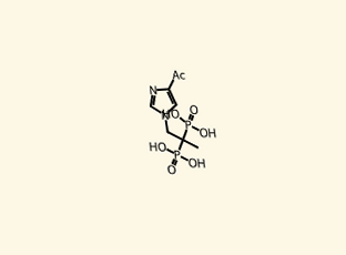 CC(=O)c1cn(CC(C)(P(=O)(O)O)P(=O)(O)O)cn1